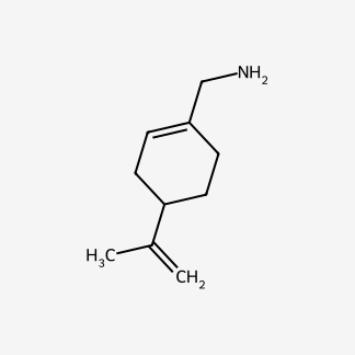 C=C(C)C1CC=C(CN)CC1